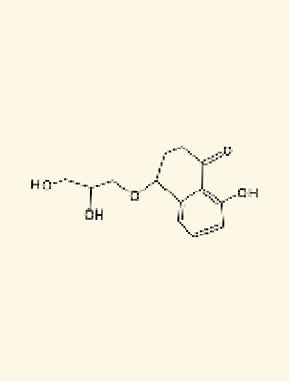 O=C1CCC(OCC(O)CO)c2cccc(O)c21